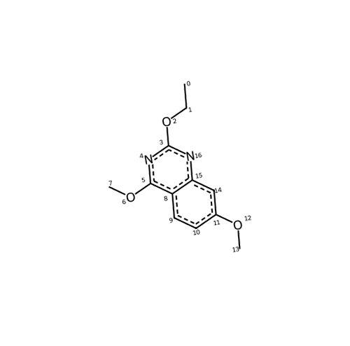 CCOc1nc(OC)c2ccc(OC)cc2n1